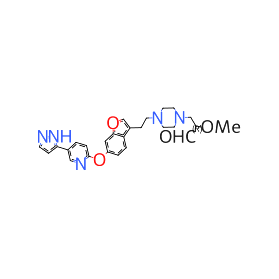 CO[C@@H](C=O)CN1CCN(CCc2coc3cc(Oc4ccc(-c5ccn[nH]5)cn4)ccc23)CC1